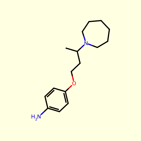 CC(CCOc1ccc(N)cc1)N1CCCCCC1